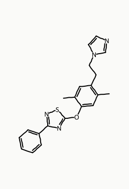 Cc1cc(Oc2nc(-c3ccccc3)ns2)c(C)cc1CCn1ccnc1